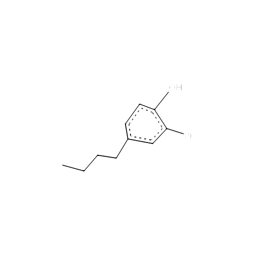 CCCCc1ccc(O)c(Br)c1